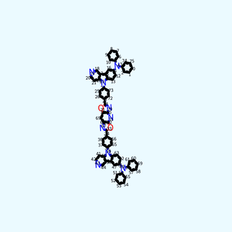 c1ccc(N(c2ccccc2)c2ccc3c(c2)c2cnccc2n3-c2ccc(-c3nc4nc5oc(-c6ccc(-n7c8ccncc8c8cc(N(c9ccccc9)c9ccccc9)ccc87)cc6)nc5cc4o3)cc2)cc1